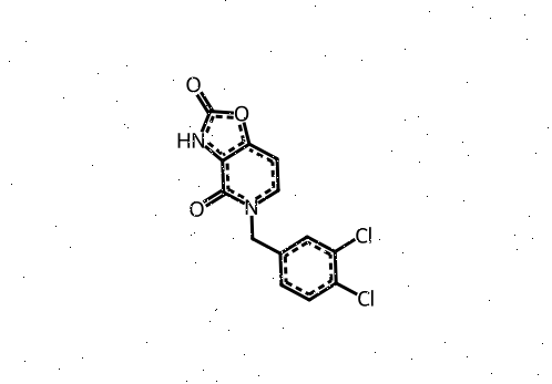 O=c1[nH]c2c(=O)n(Cc3ccc(Cl)c(Cl)c3)ccc2o1